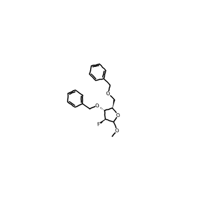 COC1O[C@H](COCc2ccccc2)[C@@H](OCc2ccccc2)[C@@H]1F